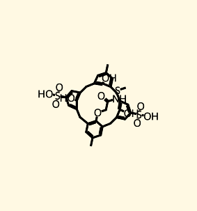 CSNC(=O)COc1c2cc(C)cc1Cc1cc(S(=O)(=O)O)cc(c1O)Cc1cc(C)cc(c1O)Cc1cc(S(=O)(=O)O)cc(c1O)C2